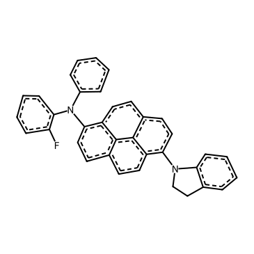 Fc1ccccc1N(c1ccccc1)c1ccc2ccc3c(N4CCc5ccccc54)ccc4ccc1c2c43